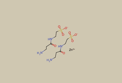 NCCC(=O)NCCS(=O)(=O)[O-].NCCC(=O)NCCS(=O)(=O)[O-].[Zn+2]